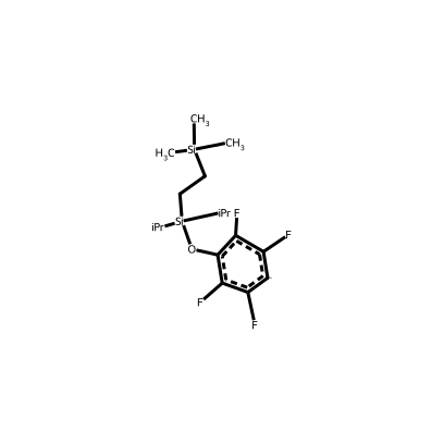 CC(C)[Si](CC[Si](C)(C)C)(Oc1c(F)c(F)[c]c(F)c1F)C(C)C